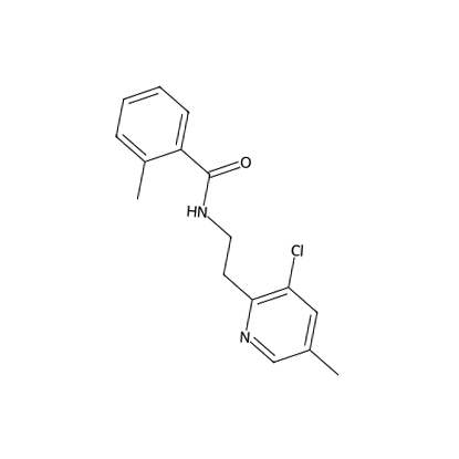 Cc1cnc(CCNC(=O)c2ccccc2C)c(Cl)c1